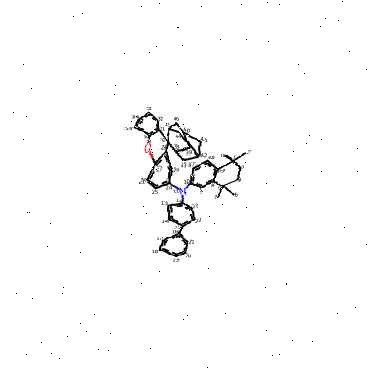 CC1(C)CCC(C)(C)c2cc(N(c3ccc(-c4ccccc4)cc3)c3ccc4c(c3)C3(c5ccccc5O4)C4CC5CC(C4)CC3C5)ccc21